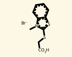 C[n+]1c(SCC(=O)O)sc2ccccc21.[Br-]